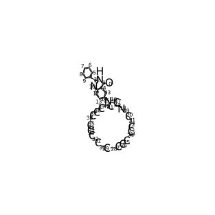 O=c1[nH]c(-c2ccccc2)nc2ccc(N3CCN4CCCCCCCCCCCCCCCCCCCCCC3CC4)cc12